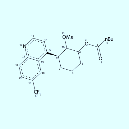 CCCCC(=O)OC1CCC[C@@H](c2ccnc3ccc(C(F)(F)F)cc23)C1OC